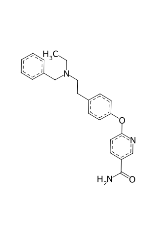 CCN(CCc1ccc(Oc2ccc(C(N)=O)cn2)cc1)Cc1ccccc1